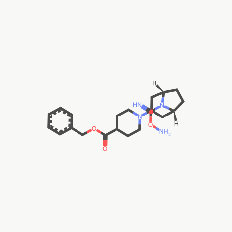 N=C(ON)N1[C@@H]2CC[C@H]1CC(N1CCC(C(=O)OCc3ccccc3)CC1)C2